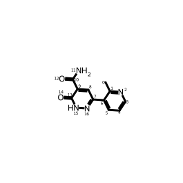 Cc1ncccc1-c1cc(C(N)=O)c(=O)[nH]n1